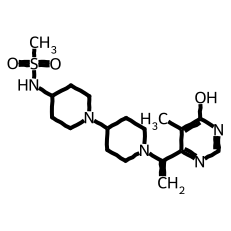 C=C(c1ncnc(O)c1C)N1CCC(N2CCC(NS(C)(=O)=O)CC2)CC1